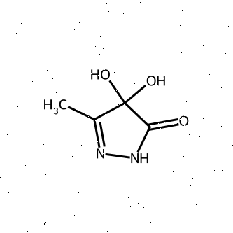 CC1=NNC(=O)C1(O)O